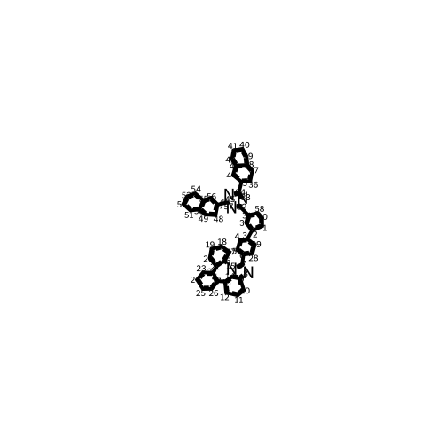 c1cc(-c2ccc(-c3nc4cccc5c4n3-c3ccccc3-c3ccccc3-5)cc2)cc(-c2nc(-c3ccc4ccccc4c3)nc(-c3ccc4ccccc4c3)n2)c1